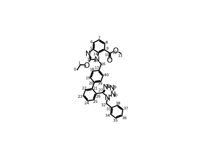 CCOc1nc2cccc(C(=O)OC)c2n1Cc1ccc(-c2ccccc2-c2nnnn2Cc2ccccc2)cc1